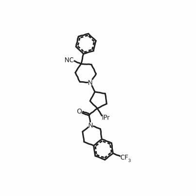 CC(C)C1(C(=O)N2CCc3ccc(C(F)(F)F)cc3C2)CCC(N2CCC(C#N)(c3ccccc3)CC2)C1